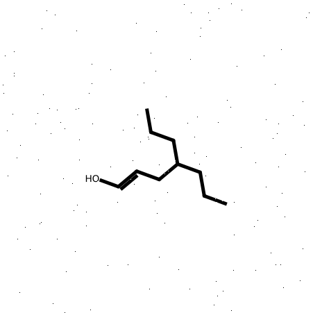 CCCC(CC=CO)CCC